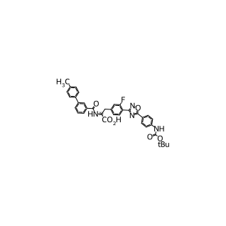 Cc1ccc(-c2cccc(C(=O)N[C@@H](Cc3ccc(-c4noc(-c5ccc(NC(=O)OC(C)(C)C)cc5)n4)c(F)c3)C(=O)O)c2)cc1